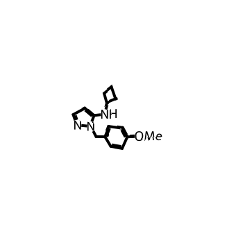 COc1ccc(Cn2nccc2NC2CCC2)cc1